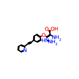 NN/C(Oc1ccc(C#Cc2ccccn2)cc1)=C(\N)C(=O)O